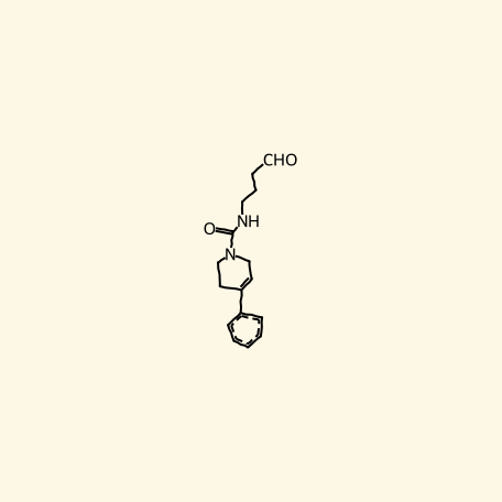 O=CCCCNC(=O)N1CC=C(c2ccccc2)CC1